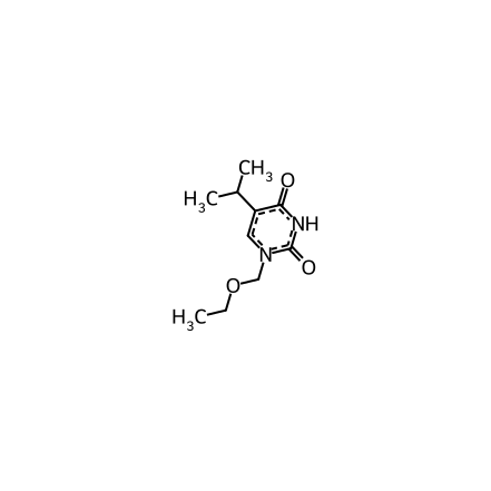 CCOCn1cc(C(C)C)c(=O)[nH]c1=O